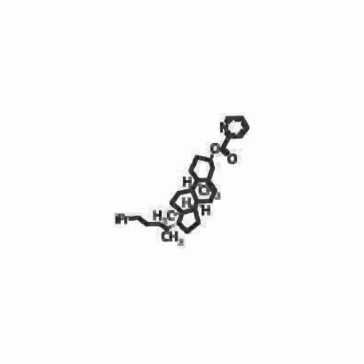 CC(C)CCCC(C)[C@H]1CC[C@H]2[C@@H]3CC=C4C[C@@H](OC(=O)c5ccccn5)CC[C@]4(C)[C@H]3CC[C@]12C